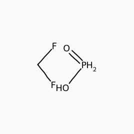 FCF.O=[PH2]O